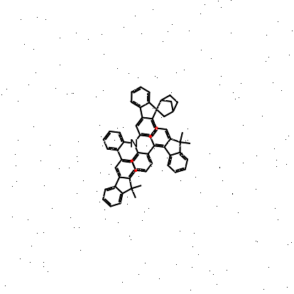 CC1(C)c2ccccc2-c2cc(-c3ccccc3N(c3ccc4c(c3)-c3ccccc3C43CC4CCC3C4)c3ccccc3-c3cccc4c3-c3ccccc3C4(C)C)ccc21